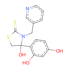 Oc1ccc(C2(O)CSC(=S)N2Cc2cccnc2)c(O)c1